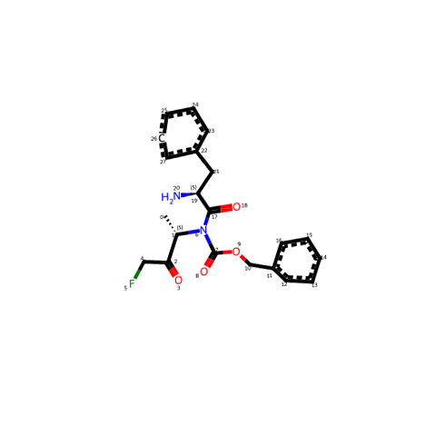 C[C@@H](C(=O)CF)N(C(=O)OCc1ccccc1)C(=O)[C@@H](N)Cc1ccccc1